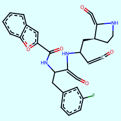 O=C=CC(C[C@@H]1CCNC1=C=O)NC(=C=O)C(Cc1cccc(F)c1)NC(=O)c1cc2ccccc2o1